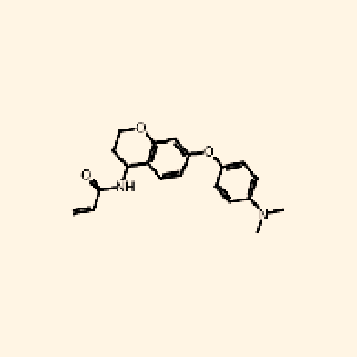 C=CC(=O)NC1CCOc2cc(Oc3ccc(N(C)C)cc3)ccc21